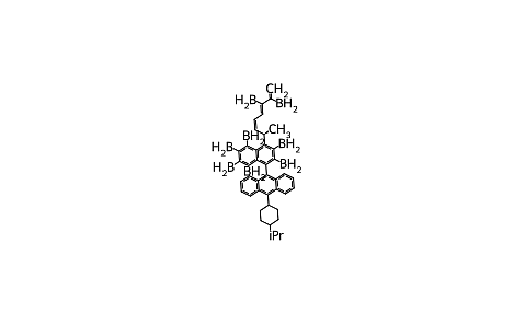 BC(=C)/C(B)=C/C=C\[C@@H](C)c1c(B)c(B)c(-c2c3ccccc3c(C3CCC(C(C)C)CC3)c3ccccc23)c2c(B)c(B)c(B)c(B)c12